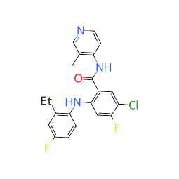 CCc1cc(F)ccc1Nc1cc(F)c(Cl)cc1C(=O)Nc1ccncc1C